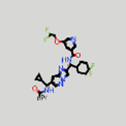 CCCC(=O)N[C@@H](c1cnn2cc([C@@H](NC(=O)c3cncc(OCC(F)F)c3)C3CCC(F)(F)CC3)nc2c1)C1CC1